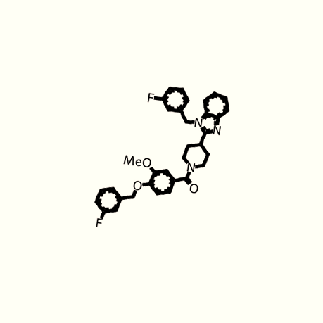 COc1cc(C(=O)N2CCC(c3nc4ccccc4n3Cc3cccc(F)c3)CC2)ccc1OCc1cccc(F)c1